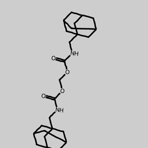 O=C(NCC12CC3CC(CC(C3)C1)C2)OCOC(=O)NCC12CC3CC(CC(C3)C1)C2